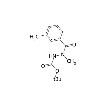 Cc1cccc(C(=O)N(C)NC(=O)OC(C)(C)C)c1